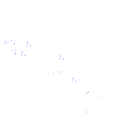 CCCCC(=O)N(CCNC(=O)[C@@H](CS)CC(C)C)Cc1ccc(-c2ccccc2-c2nnn[nH]2)cc1